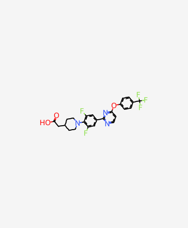 O=C(O)CC1CCN(c2c(F)cc(-c3nccc(Oc4ccc(C(F)(F)F)cc4)n3)cc2F)CC1